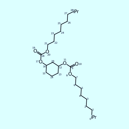 CC(C)CCCCCCCOC(=O)OC1CCCC(OC(=O)OCCCCCCCC(C)C)C1